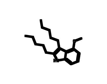 CCCCCc1[nH]c2cccc(OC)c2c1CCCCC